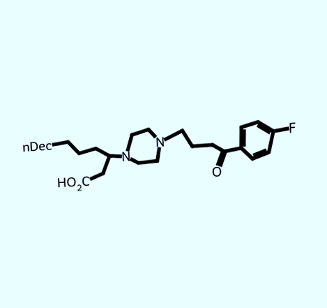 CCCCCCCCCCCCCC(CC(=O)O)N1CCN(CCCC(=O)c2ccc(F)cc2)CC1